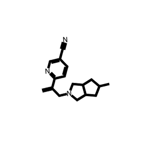 C=C(CN1CC2CC(C)CC2C1)c1ccc(C#N)cn1